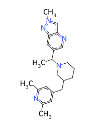 Cc1cc(CC2CCCN(C(C)c3cnc4cn(C)nc4c3)C2)cc(C)n1